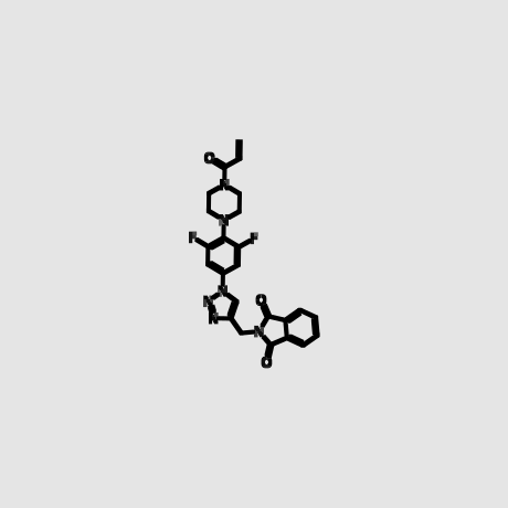 C=CC(=O)N1CCN(c2c(F)cc(-n3cc(CN4C(=O)c5ccccc5C4=O)nn3)cc2F)CC1